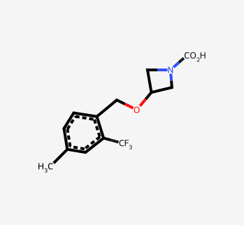 Cc1ccc(COC2CN(C(=O)O)C2)c(C(F)(F)F)c1